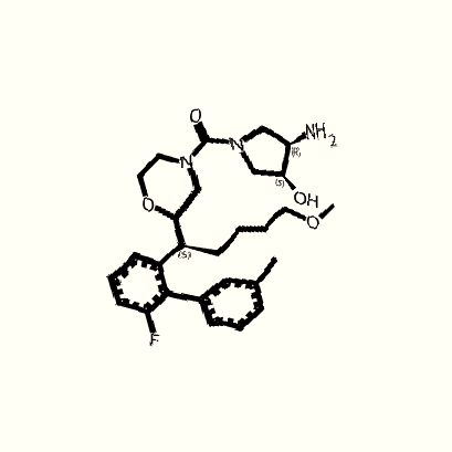 COCCCC[C@@H](c1cccc(F)c1-c1cccc(C)c1)C1CN(C(=O)N2C[C@@H](N)[C@@H](O)C2)CCO1